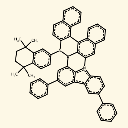 CC1(C)CCC(C)(C)c2cc(N3B4c5c(cc6ccccc6c5-c5c3ccc3ccccc53)-n3c5ccc(-c6ccccc6)cc5c5cc(-c6ccccc6)cc4c53)ccc21